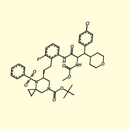 COC(=O)NC(C(=O)Nc1cccc(F)c1CC[C@H]1CN(C(=O)OC(C)(C)C)CC2(CC2)N1S(=O)(=O)c1ccccc1)C(c1ccc(Cl)cc1)C1CCOCC1